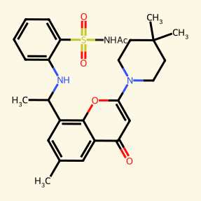 CC(=O)NS(=O)(=O)c1ccccc1NC(C)c1cc(C)cc2c(=O)cc(N3CCC(C)(C)CC3)oc12